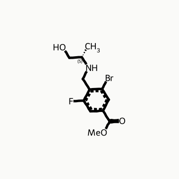 COC(=O)c1cc(F)c(CN[C@@H](C)CO)c(Br)c1